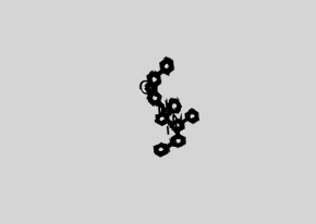 c1ccc(-c2cccc(-c3cc(-c4ccccc4)nc(-c4cccc5c4c4ccccc4n5-c4ccc5oc6ccc(-c7ccccc7)cc6c5c4)n3)c2)cc1